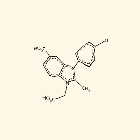 Cc1c(-c2ccc(Cl)cc2)c2cc(C(=O)O)ccc2n1CC(=O)O